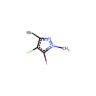 Cn1nc(C(C)(C)C)c(F)c1I